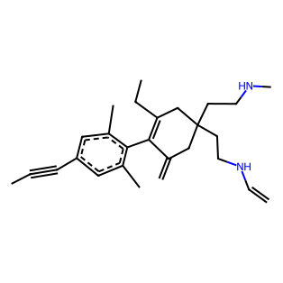 C=CNCCC1(CCNC)CC(=C)C(c2c(C)cc(C#CC)cc2C)=C(CC)C1